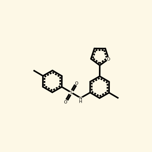 Cc1ccc(S(=O)(=O)Nc2cc(C)cc(-c3ccco3)c2)cc1